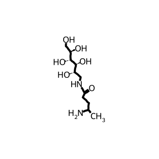 CC(N)CCC(=O)NC[C@H](O)[C@@H](O)[C@H](O)[C@H](O)CO